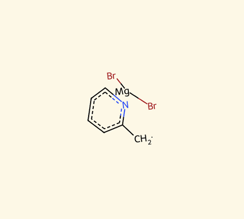 [Br][Mg][Br].[CH2]c1ccccn1